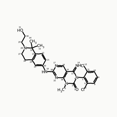 Cn1c(=O)n(-c2c(Cl)cccc2Cl)c(=N)c2cnc(Nc3ccc4c(c3)CCN(CCO)C4(C)C)nc21